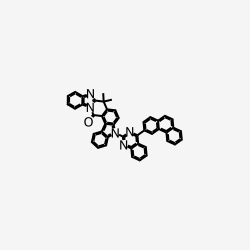 CC1(C)c2ccc3c(c2C(=O)n2c1nc1ccccc12)c1ccccc1n3-c1nc(-c2ccc3ccc4ccccc4c3c2)c2ccccc2n1